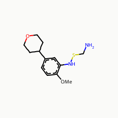 COc1ccc(C2CCOCC2)cc1NSCN